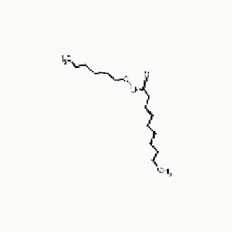 CCCCCCCCCC(=O)OOCCCCCC